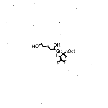 CCCCCCCCC(F)(OCC(O)CSCCO)C(F)=C(F)F